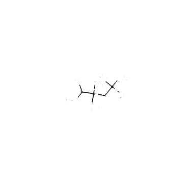 CCC(SC)C(C)(C)CC(C)(C)CC